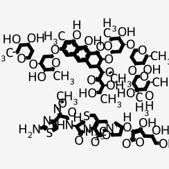 CO/N=C(\C(=O)N[C@@H]1C(=O)N2C(C(=O)[O-])=C(C[N+]3(C)CCCC3)CS[C@H]12)c1csc(N)n1.CO[C@H](C(=O)[C@@H](O)[C@@H](C)O)C1Cc2cc3cc(O[C@H]4C[C@@H](O[C@H]5C[C@@H](O)[C@H](O)[C@@H](C)O5)[C@@H](O)[C@@H](C)O4)c(C)c(O)c3c(O)c2C(=O)[C@H]1O[C@H]1C[C@@H](O[C@H]2C[C@@H](O[C@H]3C[C@](C)(O)[C@H](O)[C@@H](C)O3)[C@H](O)[C@@H](C)O2)[C@H](O)[C@@H](C)O1.O=C1O[C@H]([C@@H](O)CO)C(O)=C1O